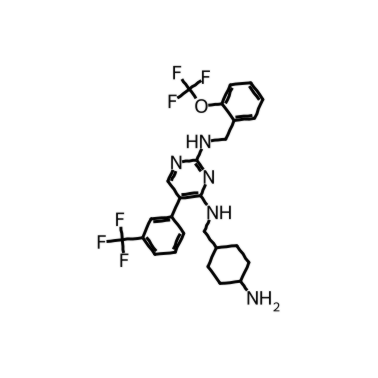 NC1CCC(CNc2nc(NCc3ccccc3OC(F)(F)F)ncc2-c2cccc(C(F)(F)F)c2)CC1